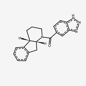 O=C(c1ccc2[nH]nnc2c1)N1CCC[C@H]2c3ccccc3C[C@H]21